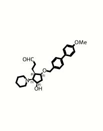 COc1ccc(-c2ccc(CO[C@H]3C[C@@H](O)[C@@H](N4CCCCC4)[C@H]3CCC=O)cc2)cc1